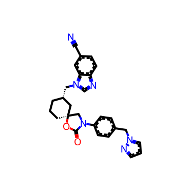 N#Cc1ccc2ncn(C[C@H]3CCC[C@]4(C3)CN(c3ccc(Cn5cccn5)cc3)C(=O)O4)c2c1